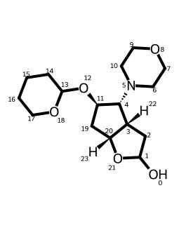 OC1C[C@H]2[C@@H](N3CCOCC3)[C@H](OC3CCCCO3)C[C@H]2O1